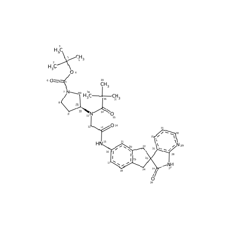 CC(C)(C)OC(=O)N1CC[C@H](N(CC(=O)Nc2ccc3c(c2)CC2(C3)C(=O)Nc3ncccc32)C(=O)C(C)(C)C)C1